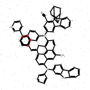 Cc1cc2c(N(c3ccccc3)c3ccc4c(c3)sc3ccccc34)ccc3c2c2c(c(N(c4cc(C#N)c5c(c4)-c4ccccc4C54C5CC6CC(C5)CC4C6)c4ccc5ccccc5c4)ccc12)C/C3=C\c1ccc(-c2cccnc2)cc1